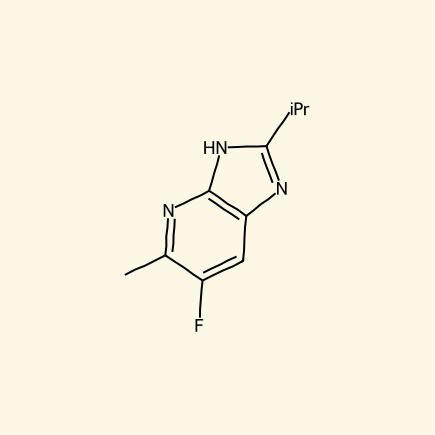 Cc1nc2[nH]c(C(C)C)nc2cc1F